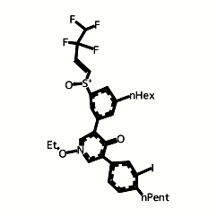 CCCCCCc1cc(-c2cn(OCC)cc(-c3ccc(CCCCC)c(I)c3)c2=O)cc([S+]([O-])/C=C/C(F)(F)C(F)F)c1